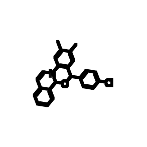 Cc1cc2c(cc1C)N1C=Cc3ccccc3C1OC2c1ccc(Cl)cc1